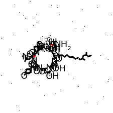 [2H]C([2H])(N)C([2H])(C)N[C@@H]1[C@H](O)C[C@H](NC(=O)CCCCCCCCC(C)CC(C)CC)C(=O)N(C)[C@@H]([C@@H](C)O)C(=O)N2C[C@H](O)CC2C(=O)N[C@@H]([C@H](O)[C@@H](OC)c2ccc(OC)cc2)C(=O)N(C)[C@@H]([C@@H](CC(C)N(C)C)OC)C(=O)N2CC[C@H](OC)[C@H]2C(=O)N1C